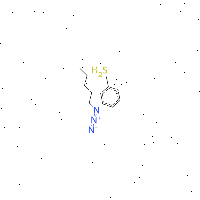 CCCCCN=[N+]=[N-].Cc1ccccc1.S